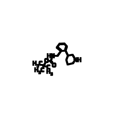 CC(C)(C)OC(=O)NCc1ccccc1C1CCCNC1